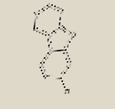 Clc1ccc2c(c1)oc1ccncc12